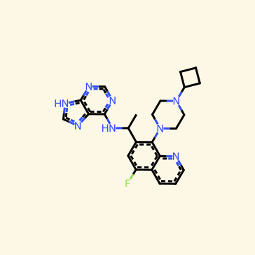 CC(Nc1ncnc2[nH]cnc12)c1cc(F)c2cccnc2c1N1CCN(C2CCC2)CC1